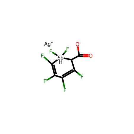 O=C([O-])[CH]1C(F)=C(F)C(F)=[C](F)[SbH]1([F])[F].[Ag+]